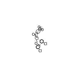 C[C@]1(COc2ccc(Cl)cn2)CN(C(=O)N2CCN(S(C)(=O)=O)CC2)C[C@@H]1c1ccc(Cl)cc1